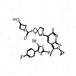 Cc1nc2nn(C3CC3)c(N(C)c3nc(-c4ccc(F)cc4)c(C#N)s3)c2cc1N1CCC2(CN(C(=O)N3CC(O)C3)C2)C1